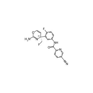 N#Cc1ccc(C(=O)Nc2ccc(F)c([C@]3(CF)C=COC(N)=N3)c2)nc1